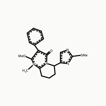 COc1c(-c2ccccc2)c(=O)n2c([n+]1C)CCCC2c1cnc(SC)s1